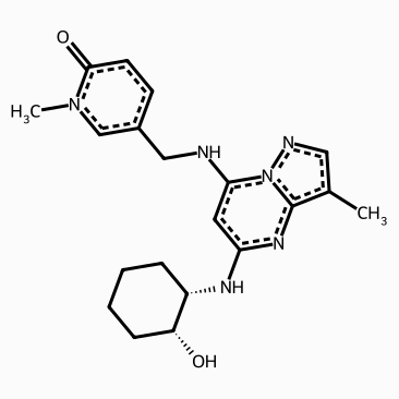 Cc1cnn2c(NCc3ccc(=O)n(C)c3)cc(N[C@H]3CCCC[C@H]3O)nc12